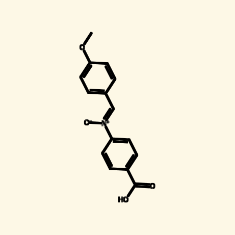 COc1ccc(C=[N+]([O-])c2ccc(C(=O)O)cc2)cc1